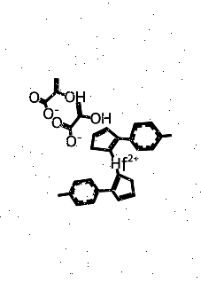 C=C(O)C(=O)[O-].C=C(O)C(=O)[O-].Cc1ccc(C2=[C]([Hf+2][C]3=C(c4ccc(C)cc4)C=CC3)CC=C2)cc1